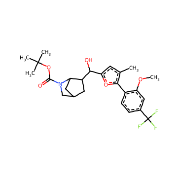 COc1cc(C(F)(F)F)ccc1-c1oc(C(O)C2CC3CC2N(C(=O)OC(C)(C)C)C3)cc1C